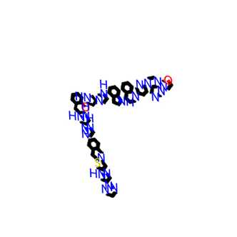 C1=Cc2ccccc2OC1.C1CCNC1.C1CNNC1.c1c[nH]cn1.c1c[nH]nn1.c1ccc2[nH]ccc2c1.c1ccc2cnccc2c1.c1ccc2ncccc2c1.c1ccncc1.c1ccsc1.c1cn[nH]c1.c1cnc2ncncc2n1.c1cnnnc1.c1cocn1